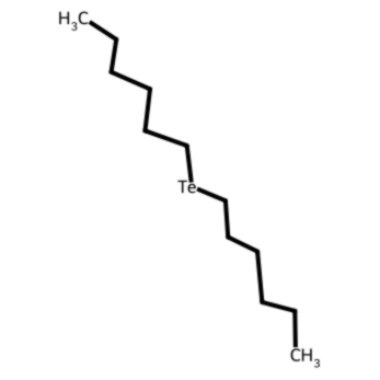 CCCCCC[Te]CCCCCC